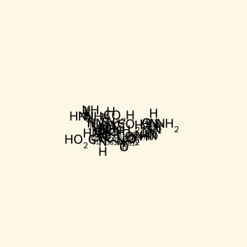 C#CC[C@H](NC(=O)[C@H](CC(=O)O)NC(=O)[C@H](CC(=O)O)NC(=O)[C@H](CCCNC(=N)N)NC(=O)[C@H](CC(=O)O)NC(=O)CCCNC(=O)c1ccc(NCc2cnc3nc(N)[nH]c(=O)c3n2)cc1)C(=O)O